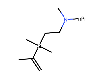 C=C(C)[Si](C)(C)CCN(C)CCC